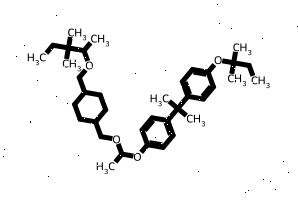 CCC(C)(C)Oc1ccc(C(C)(C)c2ccc(OC(C)OCC3CCC(COC(C)C(C)(C)CC)CC3)cc2)cc1